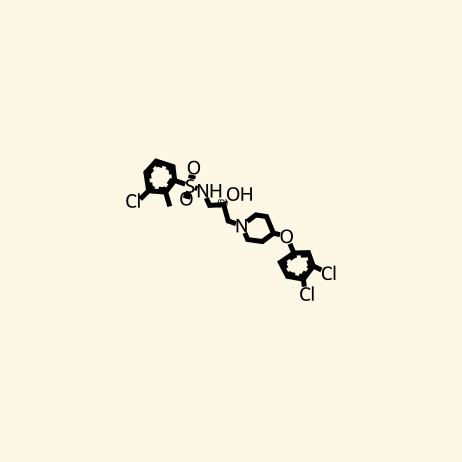 Cc1c(Cl)cccc1S(=O)(=O)NC[C@H](O)CN1CCC(Oc2ccc(Cl)c(Cl)c2)CC1